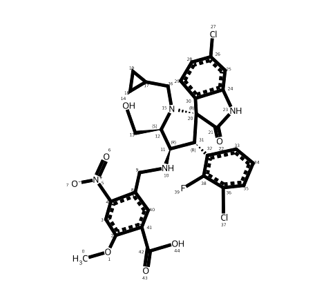 COc1cc([N+](=O)[O-])c(CN[C@H]2[C@@H](CO)N(CC3CC3)[C@]3(C(=O)Nc4cc(Cl)ccc43)[C@@H]2c2cccc(Cl)c2F)cc1C(=O)O